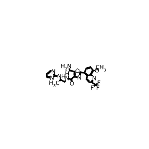 COc1ccc(-c2nc(C(=O)NCC(C)Nc3ncccn3)c(CN)o2)c2ccc(C(F)(F)F)nc12